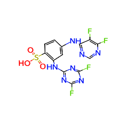 O=S(=O)(O)c1ccc(Nc2ncnc(F)c2F)cc1Nc1nc(F)nc(F)n1